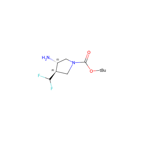 CC(C)(C)OC(=O)N1C[C@@H](N)[C@H](C(F)F)C1